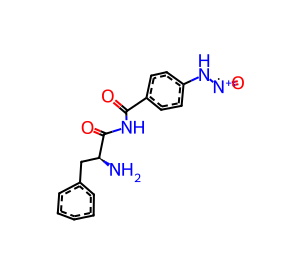 N[C@@H](Cc1ccccc1)C(=O)NC(=O)c1ccc(N[N+]=O)cc1